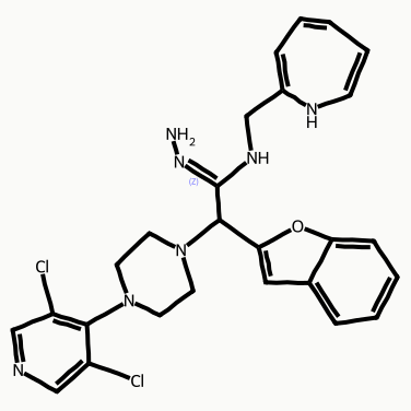 N/N=C(\NCC1=CC=CC=CN1)C(c1cc2ccccc2o1)N1CCN(c2c(Cl)cncc2Cl)CC1